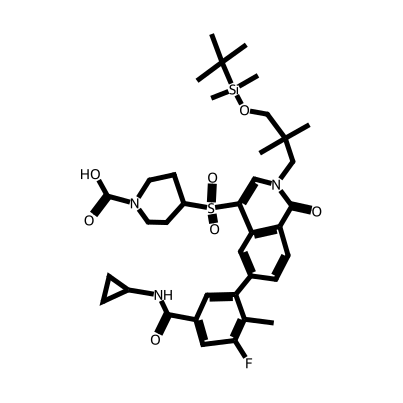 Cc1c(F)cc(C(=O)NC2CC2)cc1-c1ccc2c(=O)n(CC(C)(C)CO[Si](C)(C)C(C)(C)C)cc(S(=O)(=O)C3CCN(C(=O)O)CC3)c2c1